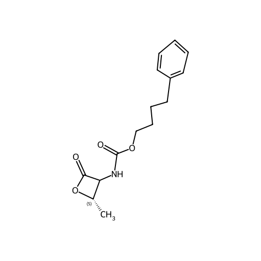 C[C@@H]1OC(=O)C1NC(=O)OCCCCc1ccccc1